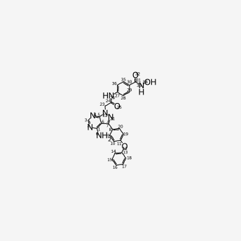 Nc1ncnc2c1c(-c1ccc(Oc3ccccc3)cc1)nn2CC(=O)Nc1ccc(C(=O)NO)cc1